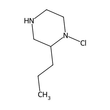 CCCC1CNCCN1Cl